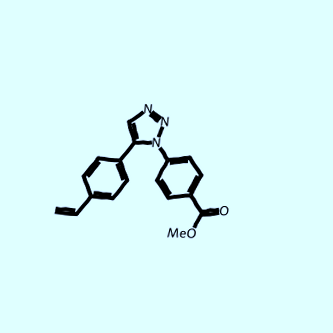 C=Cc1ccc(-c2cnnn2-c2ccc(C(=O)OC)cc2)cc1